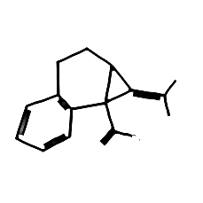 NC(=O)C12C(=C(Cl)Cl)C1CCc1[c]cccc12